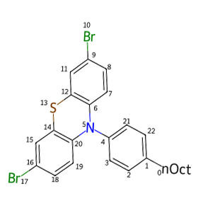 CCCCCCCCc1ccc(N2c3ccc(Br)cc3Sc3cc(Br)ccc32)cc1